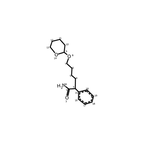 NC(=O)C(CCCCOC1CCCCO1)c1ccccc1